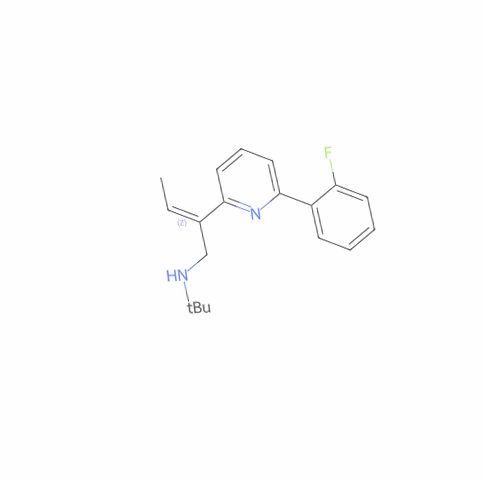 C/C=C(/CNC(C)(C)C)c1cccc(-c2ccccc2F)n1